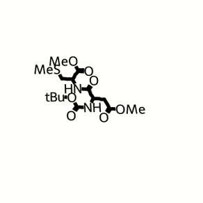 COC(=O)CC(NC(=O)OC(C)(C)C)C(=O)NC(CSC)C(=O)OC